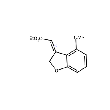 CCOC(=O)/C=C1\COc2cccc(OC)c21